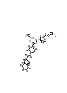 COCc1cn(CCN(CCO)c2ccc(/C=C/c3nc4ccccc4s3)cc2)nn1